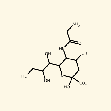 NCC(=O)NC1C(O)CC(O)(C(=O)O)OC1C(O)C(O)CO